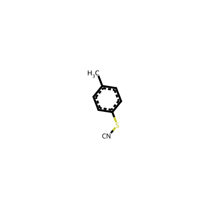 [C-]#[N+]Sc1ccc(C)cc1